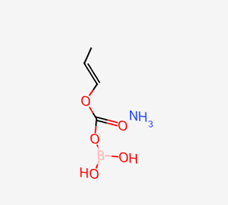 CC=COC(=O)OB(O)O.N